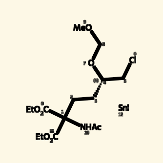 CCOC(=O)C(CC[C@@H](CCl)OCOC)(NC(C)=O)C(=O)OCC.[Sn]